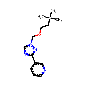 C[Si](C)(C)CCOCn1cnc(-c2cccnc2)n1